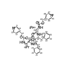 CC(C)[C@H](NC(=O)OCc1ccncc1)C(=O)NC(Cc1ccccc1)C(O)C(Cc1ccccc1)NC(=O)[C@@H](NC(=O)OCc1ccncc1)C(C)C